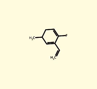 C=CC1=CC(C)CC=C1F